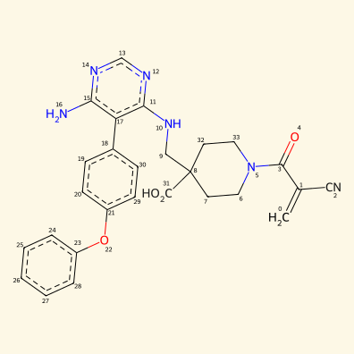 C=C(C#N)C(=O)N1CCC(CNc2ncnc(N)c2-c2ccc(Oc3ccccc3)cc2)(C(=O)O)CC1